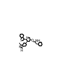 Cc1n[nH]c2ccc(-c3cc(OC[C@@H](N)Cc4ccccc4)cnc3-c3csc4ccccc34)cc12